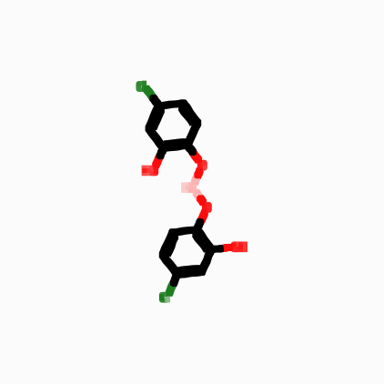 Oc1cc(Cl)ccc1OBOc1ccc(Cl)cc1O